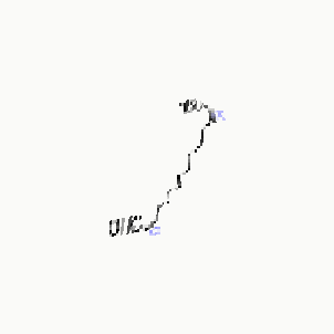 CCCC/C=C\CCCCCCCCC/C=C\C=O